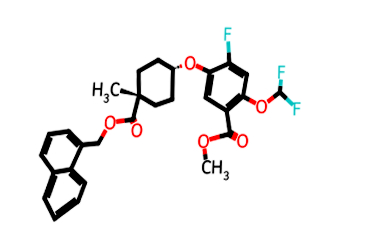 COC(=O)c1cc(O[C@H]2CC[C@@](C)(C(=O)OCc3cccc4ccccc34)CC2)c(F)cc1OC(F)F